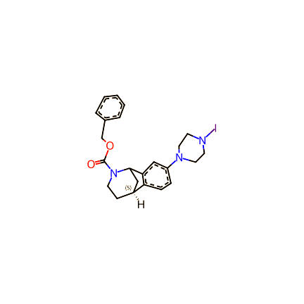 O=C(OCc1ccccc1)N1CC[C@H]2CC1c1cc(N3CCN(I)CC3)ccc12